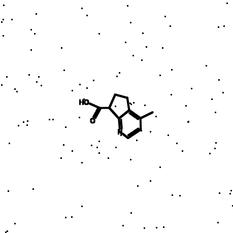 Cc1ccnc2c1CCC2C(=O)O